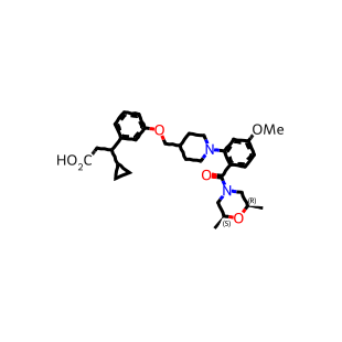 COc1ccc(C(=O)N2C[C@@H](C)O[C@@H](C)C2)c(N2CCC(COc3cccc(C(CC(=O)O)C4CC4)c3)CC2)c1